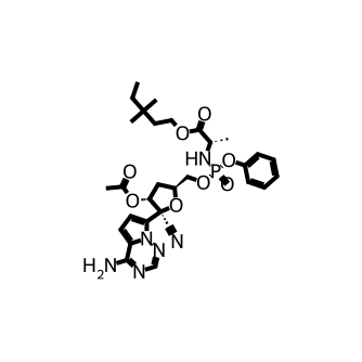 CCC(C)(C)CCOC(=O)[C@H](C)NP(=O)(OC[C@@H]1C[C@@H](OC(C)=O)[C@](C#N)(c2ccc3c(N)ncnn23)O1)Oc1ccccc1